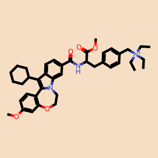 CC[N+](CC)(CC)Cc1ccc(CC(NC(=O)c2ccc3c(C4CCCCC4)c4n(c3c2)CCOc2cc(OC)ccc2-4)C(=O)OC)cc1